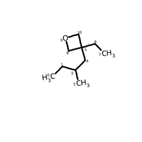 CCC(C)CC1(CC)COC1